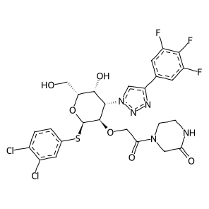 O=C1CN(C(=O)CO[C@@H]2[C@@H](n3cc(-c4cc(F)c(F)c(F)c4)nn3)[C@@H](O)[C@@H](CO)O[C@@H]2Sc2ccc(Cl)c(Cl)c2)CCN1